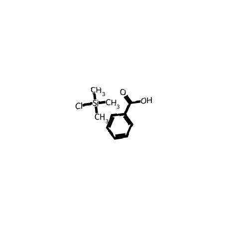 C[Si](C)(C)Cl.O=C(O)c1ccccc1